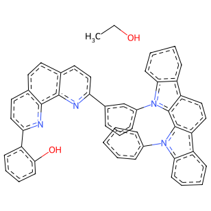 CCO.Oc1ccccc1-c1ccc2ccc3ccc(-c4cccc(-n5c6ccccc6c6ccc7c8ccccc8n(-c8ccccc8)c7c65)c4)nc3c2n1